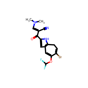 CN(C)/C=C(\C#N)C(=O)c1cc2c([nH]1)CC=C(Br)C(OC(F)F)=C2